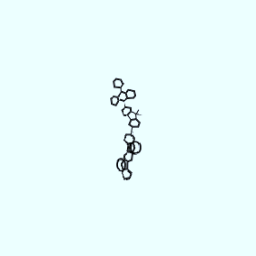 CC1(C)c2ccc(-c3ccc4c(c3)oc3cc5c(cc34)oc3ccccc35)cc2-c2ccc(-c3c4ccccc4c(-c4ccccc4)c4ccccc34)cc21